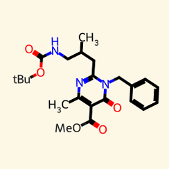 COC(=O)c1c(C)nc(CC(C)CNC(=O)OC(C)(C)C)n(Cc2ccccc2)c1=O